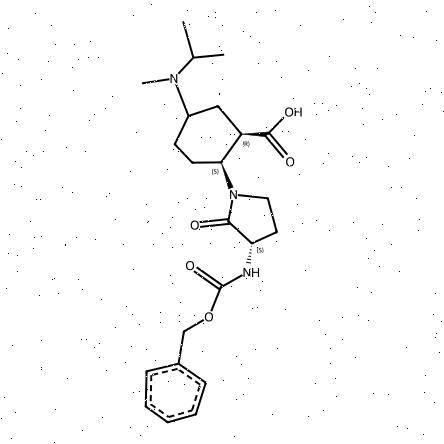 CC(C)N(C)C1CC[C@H](N2CC[C@H](NC(=O)OCc3ccccc3)C2=O)[C@H](C(=O)O)C1